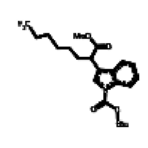 COC(=O)C(CCCCCC(F)(F)F)c1cn(C(=O)OC(C)(C)C)c2ccccc12